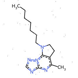 CCCCCCCN1CCc2c(C)nc3ncnn3c21